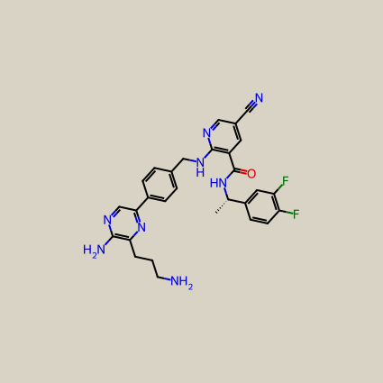 C[C@H](NC(=O)c1cc(C#N)cnc1NCc1ccc(-c2cnc(N)c(CCCN)n2)cc1)c1ccc(F)c(F)c1